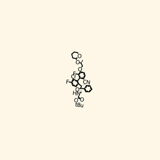 C[C@@H](COc1ccc(C#N)c(-c2c(Cl)c(F)cc3c2[C@H](C)[C@@](CNC(=O)OC(C)(C)C)(c2ccccc2)O3)c1F)OC1CCCCO1